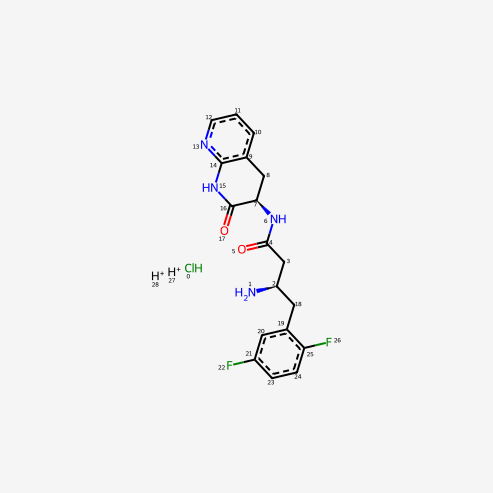 Cl.N[C@@H](CC(=O)N[C@@H]1Cc2cccnc2NC1=O)Cc1cc(F)ccc1F.[H+].[H+]